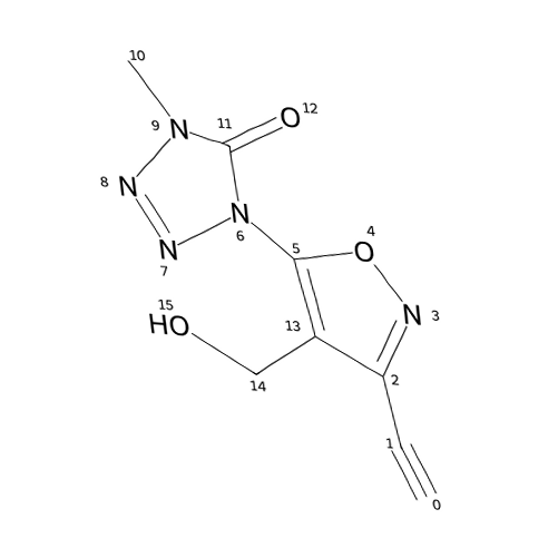 C#Cc1noc(-n2nnn(C)c2=O)c1CO